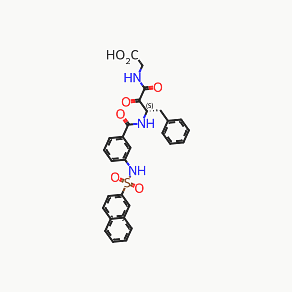 O=C(O)CNC(=O)C(=O)[C@H](Cc1ccccc1)NC(=O)c1cccc(NS(=O)(=O)c2ccc3ccccc3c2)c1